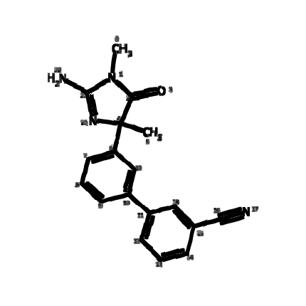 CN1C(=O)C(C)(c2cccc(-c3cccc(C#N)c3)c2)N=C1N